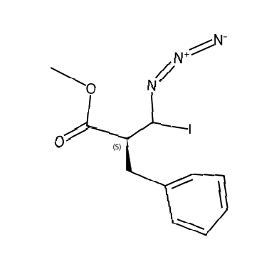 COC(=O)[C@H](Cc1ccccc1)C(I)N=[N+]=[N-]